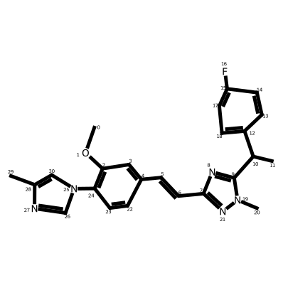 COc1cc(C=Cc2nc(C(C)c3ccc(F)cc3)n(C)n2)ccc1-n1cnc(C)c1